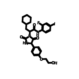 O=C(Nc1ccc(I)cc1F)C(CC1CCCCC1)N1C(=O)NC(c2ccc(OCCO)cc2)C1=O